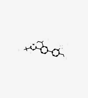 CC1Cn2nc(C(C)(C)O)cc2-c2ccc(-c3ccc(CO)c(S(C)(=O)=O)c3)cc21